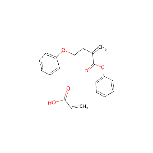 C=C(CCOc1ccccc1)C(=O)Oc1ccccc1.C=CC(=O)O